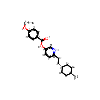 CCCCCCOc1ccc(C(=O)Oc2ccc(CC[C@H]3CC[C@H](CC)CC3)nc2)cc1